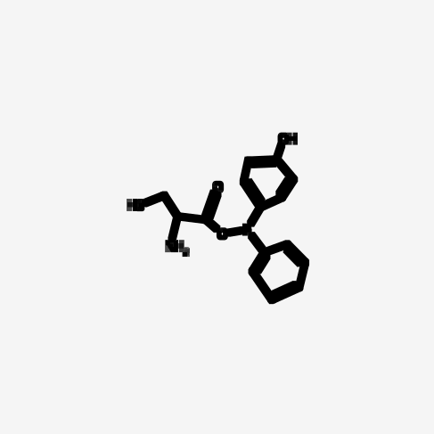 NC(CS)C(=O)OB(c1ccccc1)c1ccc(O)cc1